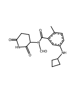 Cc1ccc(NC2CCC2)cc1C(=O)N(C=O)C1CCC(=O)NC1=O